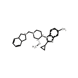 CO[C@@H]1CN(C[C@@H]2CC3C=[C]C=CC3C2)CC[C@H]1n1c(C2CC2)nc2cc(C)ccc21